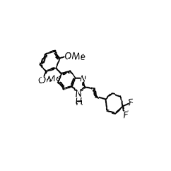 COc1cccc(OC)c1-c1ccc2[nH]c(/C=C/C3CCC(F)(F)CC3)nc2c1